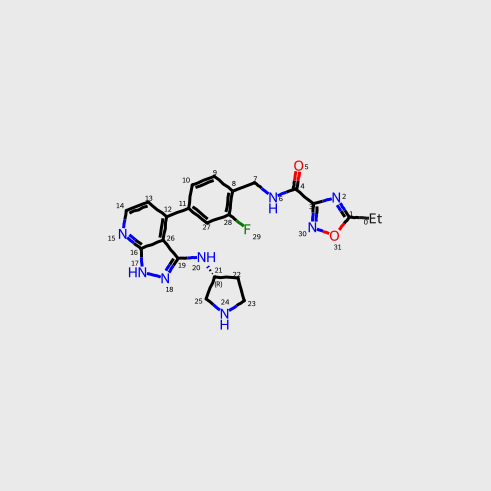 CCc1nc(C(=O)NCc2ccc(-c3ccnc4[nH]nc(N[C@@H]5CCNC5)c34)cc2F)no1